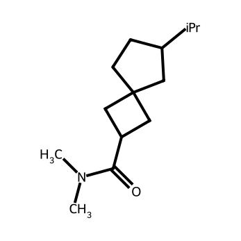 CC(C)C1CCC2(CC(C(=O)N(C)C)C2)C1